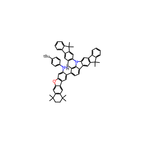 CC(C)(C)c1ccc(Nc2cc3oc4cc5c(cc4c3cc2-c2ccc3c4cc6c(cc4n4c3c2Bc2cc3c(cc2-4)C(C)(C)c2ccccc2-3)-c2ccccc2C6(C)C)C(C)(C)CCC5(C)C)cc1